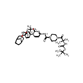 CC(C)(C)OC(=O)NC1CC2CCC(C1)N2Cc1ccc(-n2ccc(NC(=O)N3CCN(C(=O)C(C)(C)NC(=O)OC(C)(C)C)CC3)nc2=O)cc1